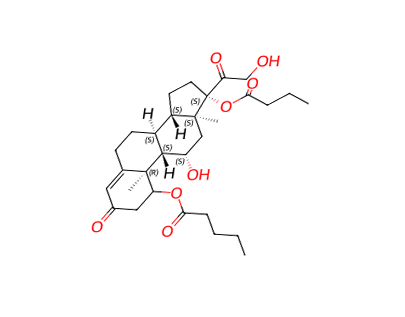 CCCCC(=O)OC1CC(=O)C=C2CC[C@@H]3[C@H]([C@@H](O)C[C@@]4(C)[C@H]3CC[C@@]4(OC(=O)CCC)C(=O)CO)[C@]21C